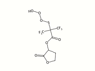 O=C1OCCC1OC(=O)C(SOOO)(C(F)(F)F)C(F)(F)F